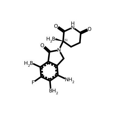 Bc1c(N)c2c(c(B)c1F)C(=O)N([C@@]1(B)CCC(=O)NC1=O)C2